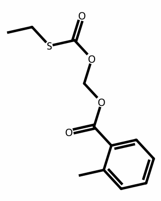 CCSC(=O)OCOC(=O)c1ccccc1C